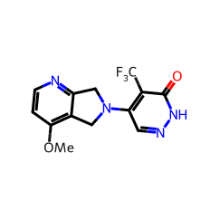 COc1ccnc2c1CN(c1cn[nH]c(=O)c1C(F)(F)F)C2